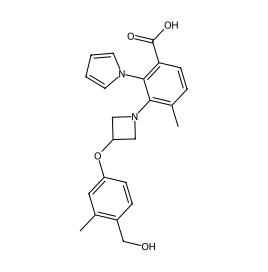 Cc1cc(OC2CN(c3c(C)ccc(C(=O)O)c3-n3cccc3)C2)ccc1CO